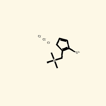 C[Si](C)(C)CC1=[C]([Ti+3])C=CC1.[Cl-].[Cl-].[Cl-]